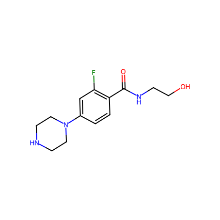 O=C(NCCO)c1ccc(N2CCNCC2)cc1F